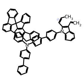 C=Cc1c(/C=C\C)n(-c2ccc(-c3ccc(N(c4ccc(-c5ccccc5)cc4)c4ccc(-c5cccc6c5C5(c7ccccc7-6)c6ccccc6-c6c5ccc5c6-c6ccccc6C5)cc4)cc3)cc2)c2ccccc12